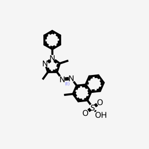 Cc1cc(S(=O)(=O)O)c2ccccc2c1/N=N/c1c(C)nn(-c2ccccc2)c1C